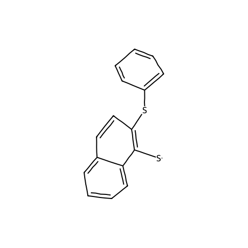 [S]c1c(Sc2ccccc2)ccc2ccccc12